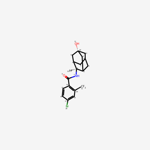 O=C(N[C@H]1C2CC3CC1C[C@](O)(C3)C2)c1ccc(Br)cc1C(F)(F)F